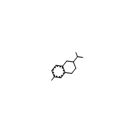 Cc1ccc2c(c1)CCC(C(C)C)C2